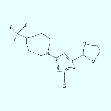 FC(F)(F)C1CCN(c2cc(Cl)cc(C3OCCO3)c2)CC1